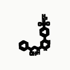 NS(=O)(=O)c1ccc(-c2cc(NCC(O)c3ccccc3)ncn2)cc1